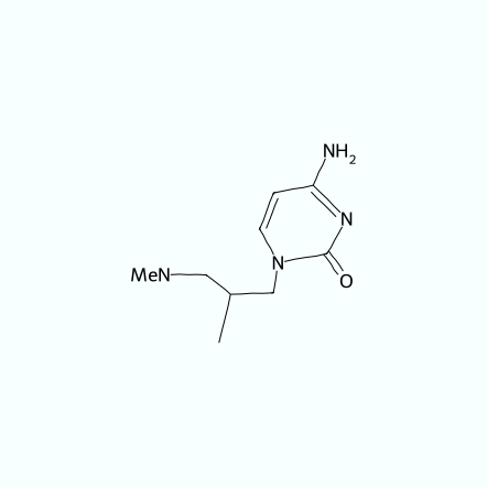 CNCC(C)Cn1ccc(N)nc1=O